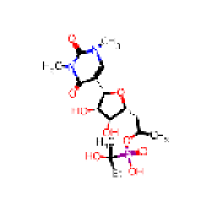 CCC(C)(O)P(=O)(O)OC(C)C[C@H]1O[C@@H](c2cn(C)c(=O)n(C)c2=O)[C@H](O)[C@@H]1O